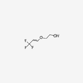 OCCOC=CC(F)(F)F